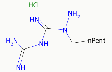 CCCCCCN(N)C(=N)NC(=N)N.Cl